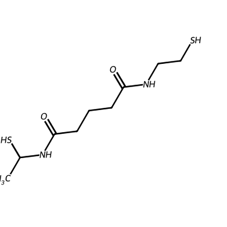 CC(S)NC(=O)CCCC(=O)NCCS